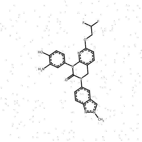 Cn1cc2cc(N3Cc4ccc(OCC(F)F)nc4N(c4ccc(O)c(N)c4)C3=O)ccc2n1